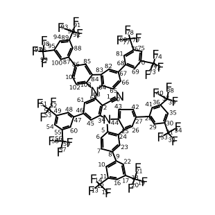 N#Cc1c(-n2c3ccc(-c4cc(C(F)(F)F)cc(C(F)(F)F)c4)cc3c3cc(-c4cc(C(F)(F)F)cc(C(F)(F)F)c4)ccc32)cc(-c2cc(C(F)(F)F)cc(C(F)(F)F)c2)cc1-n1c2ccc(-c3cc(C(F)(F)F)cc(C(F)(F)F)c3)cc2c2cc(-c3cc(C(F)(F)F)cc(C(F)(F)F)c3)ccc21